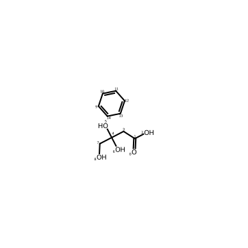 O=C(O)CC(O)(O)CO.c1ccccc1